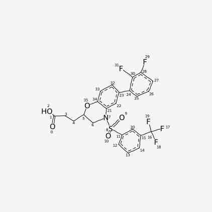 O=C(O)CCC1CN(S(=O)(=O)c2cccc(C(F)(F)F)c2)c2cc(-c3cccc(F)c3F)ccc2O1